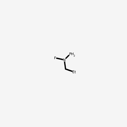 CCCN(F)P